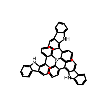 c1ccc(N(c2ccccc2-c2cccc3c2[nH]c2ccccc23)c2ccccc2-c2cccc3c2[nH]c2ccccc23)c(-c2cccc3c2[nH]c2ccccc23)c1